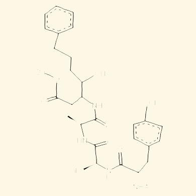 CC(=O)N[C@@H](Cc1ccc(O)cc1)C(=O)N[C@H](C(=O)N[C@@H](C)C(=O)NC(CC(=O)OC(C)(C)C)C(O)CCCc1ccccc1)C(C)C